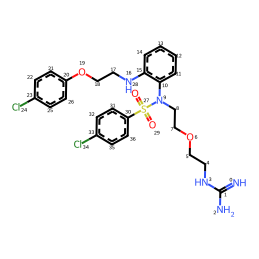 N=C(N)NCCOCCN(c1ccccc1NCCOc1ccc(Cl)cc1)S(=O)(=O)c1ccc(Cl)cc1